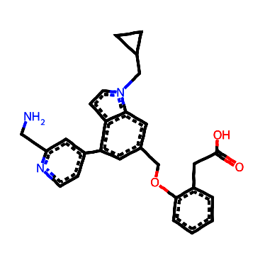 NCc1cc(-c2cc(COc3ccccc3CC(=O)O)cc3c2ccn3CC2CC2)ccn1